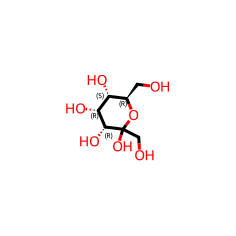 OC[C@H]1OC(O)(CO)[C@H](O)[C@H](O)[C@@H]1O